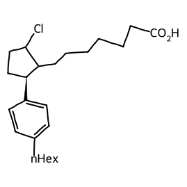 CCCCCCc1ccc([C@H]2CCC(Cl)C2CCCCCCC(=O)O)cc1